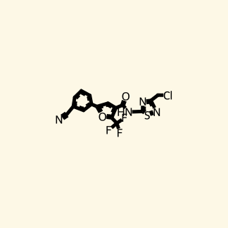 N#Cc1cccc(-c2cc(C(=O)Nc3nc(CCl)ns3)c(C(F)(F)F)o2)c1